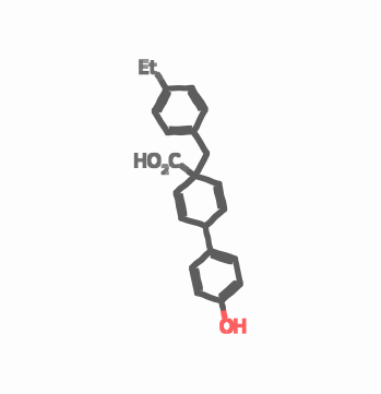 CCc1ccc(CC2(C(=O)O)C=CC(c3ccc(O)cc3)C=C2)cc1